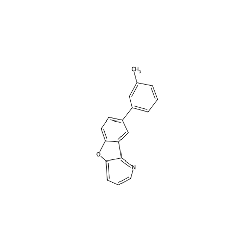 Cc1cccc(-c2ccc3oc4cccnc4c3c2)c1